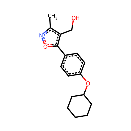 Cc1noc(-c2ccc(OC3CCCCC3)cc2)c1CO